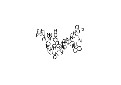 C=CC(=O)N1CCN(c2nc(OC[C@@H]3CC[C@H](CN4CCN(C(=O)C5CCN(Cc6ccc(-n7c(C(=O)NCC(F)(F)F)nnc7-c7cc(C(C)C)c(O)cc7O)cc6)CC5)CC4)N3C)nc3c2CCN(c2cccc4cccc(Cl)c24)C3)C[C@@H]1CC#N